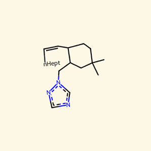 CCCCCCC/C=C\C1CCC(C)(C)CC1Cn1cncn1